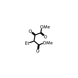 CCC(C(=O)OC)C(=O)C(=O)OC